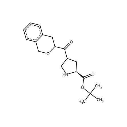 CC(C)(C)OC(=O)[C@@H]1CC(C(=O)C2Cc3ccccc3CO2)CN1